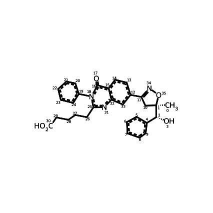 C[C@]1([C@H](O)c2ccccc2)CC(c2ccc3c(=O)n(-c4ccccc4)c(CCCCC(=O)O)nc3c2)=NO1